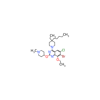 CCCCCC1(CC)CCN(c2nc(OC3CCN(C)CC3)nc3c(OCC)c(Br)c(Cl)cc23)CC1